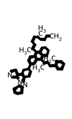 C=C/C=C\C(C)/C=C\C=C(/C)c1c2c(c(/C(C)=C/C=c3/ccccc3=C)c3cc(C4C=Cc5c(c6ccncc6n6c5nc5ccccc56)C4)ccc13)=CCCC=2